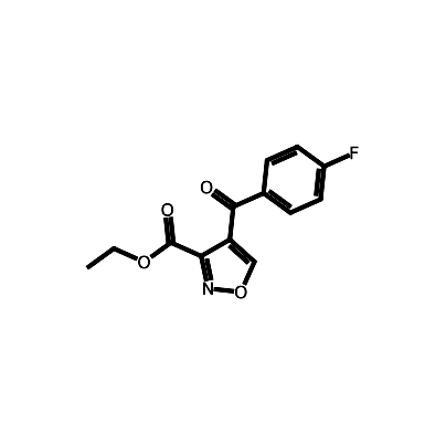 CCOC(=O)c1nocc1C(=O)c1ccc(F)cc1